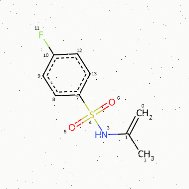 C=C(C)NS(=O)(=O)c1ccc(F)cc1